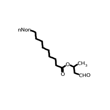 CCCCCCCCCCCCCCCCCC(=O)OC(C)CC=O